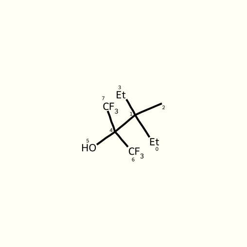 CCC(C)(CC)C(O)(C(F)(F)F)C(F)(F)F